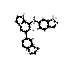 c1cn2cc(-c3ccc4nc[nH]c4c3)nc(Nc3ccc4cn[nH]c4c3)c2n1